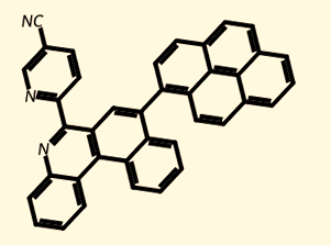 N#Cc1ccc(-c2nc3ccccc3c3c2cc(-c2ccc4ccc5cccc6ccc2c4c56)c2ccccc23)nc1